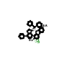 CC(C)(C)c1ccc2c(c1)[CH]([Zr](=[C](c1ccccc1)c1ccccc1)[CH]1C=Cc3c(-c4ccccc4)cccc31)c1cc(C(C)(C)C)ccc1-2.Cl.Cl